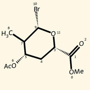 COC(=O)[C@@H]1C[C@H](OC(C)=O)C(C)[C@H](Br)O1